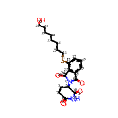 O=C1CCC(N2C(=O)c3cccc(SCCCCCCCCO)c3C2=O)C(=O)N1